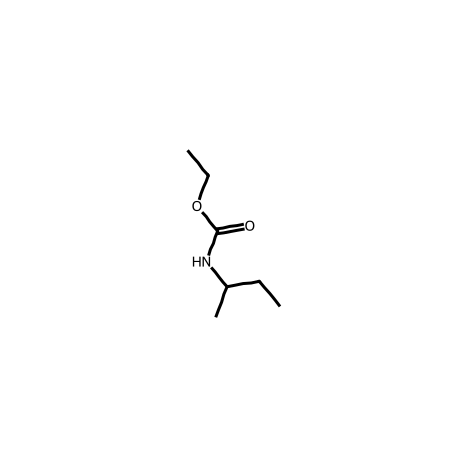 CCOC(=O)NC(C)CC